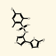 Cc1cc(Cl)cc(Cl)c1S(=O)(=O)Nc1cscc1-c1ccc(Cl)s1